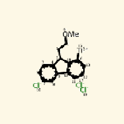 COCCC1c2ccccc2-c2ccc[c]([Ti+3])c21.[Cl-].[Cl-].[Cl-]